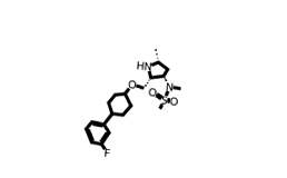 C[C@@H]1C[C@H](N(C)S(C)(=O)=O)[C@H](COC2CCC(c3cccc(F)c3)CC2)N1